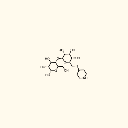 OC[C@H]1O[C@H](O)[C@H](O)[C@@H](O)[C@@H]1O[C@@H]1O[C@H](CON2CCNCC2)[C@H](O)[C@H](O)[C@H]1O